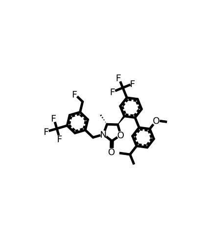 COc1ccc(C(C)C)cc1-c1ccc(C(F)(F)F)cc1[C@H]1OC(=O)N(Cc2cc(CF)cc(C(F)(F)F)c2)[C@@H]1C